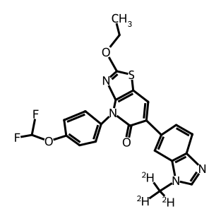 [2H]C([2H])([2H])n1cnc2ccc(-c3cc4sc(OCC)nc4n(-c4ccc(OC(F)F)cc4)c3=O)cc21